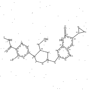 CNC(=O)c1ncc(N2CCN(Cc3cnc4cc(C5CC5)c(=O)[nH]c4c3)CC2CO)cc1F